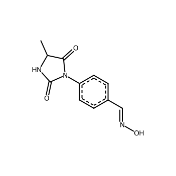 CC1NC(=O)N(c2ccc(C=NO)cc2)C1=O